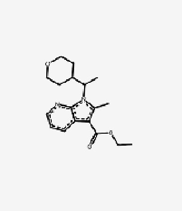 CCOC(=O)c1c(C)n(C(C)C2CCOCC2)c2ncccc12